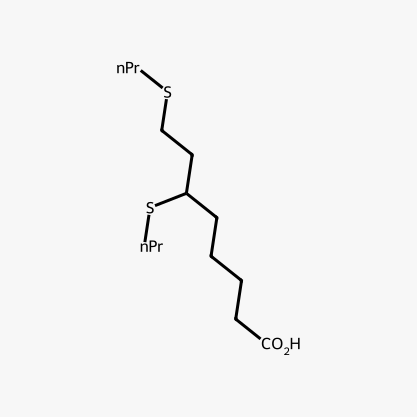 CCCSCCC(CCCCC(=O)O)SCCC